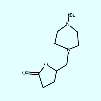 CC(C)(C)N1CCN(CC2CCC(=O)O2)CC1